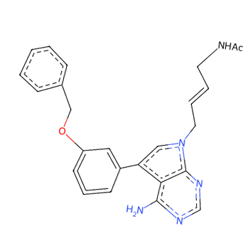 CC(=O)NC/C=C/Cn1cc(C2=CC(OCc3ccccc3)=C=C=C2)c2c(N)ncnc21